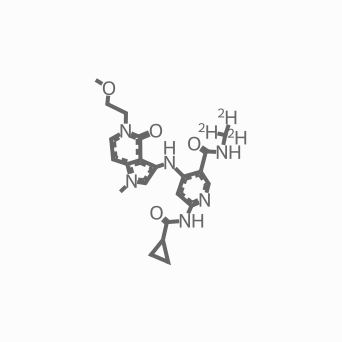 [2H]C([2H])([2H])NC(=O)c1cnc(NC(=O)C2CC2)cc1Nc1cn(C)c2ccn(CCOC)c(=O)c12